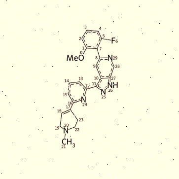 COc1cccc(F)c1-c1cc2c(-c3cccc(C4=CCN(C)CC4)n3)n[nH]c2cn1